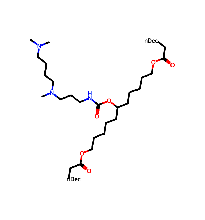 CCCCCCCCCCCC(=O)OCCCCCC(CCCCCOC(=O)CCCCCCCCCCC)OC(=O)NCCCN(C)CCCCN(C)C